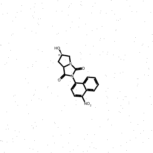 O=C1C2C[C@@H](O)CN2C(=O)N1c1ccc([N+](=O)[O-])c2ccccc12